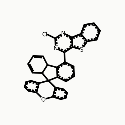 Clc1nc(-c2cccc3c2C2C=CC=CC2C32c3ccccc3Oc3ccccc32)c2sc3ccccc3c2n1